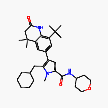 Cn1c(C(=O)NC2CCOCC2)cc(-c2cc(C(C)(C)C)c3c(c2)C(C)(C)CC(=O)N3)c1CC1CCCCC1